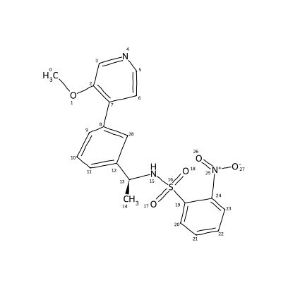 COc1cnccc1-c1cccc([C@H](C)NS(=O)(=O)c2ccccc2[N+](=O)[O-])c1